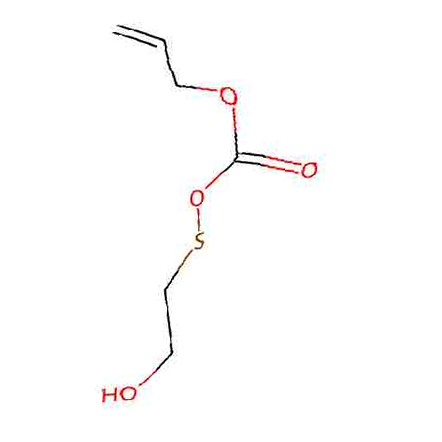 C=CCOC(=O)OSCCO